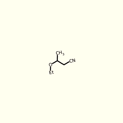 CCOC(C)CC#N